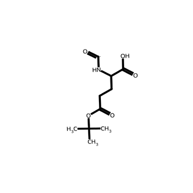 CC(C)(C)OC(=O)CCC(N[C]=O)C(=O)O